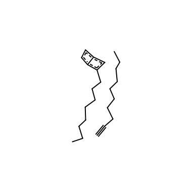 C#CCCCCCCCC.CCCCCCCCc1cc2ccc1-2